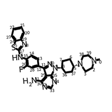 CN1CCN([C@H]2CC[C@H](n3nc(-c4ccc(Nc5nc6ccccc6s5)c(F)c4)c4c(N)ncnc43)CC2)CC1